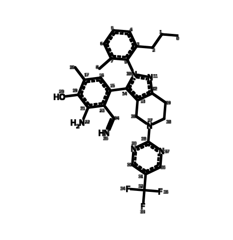 CCCc1cccc(C)c1-n1nc2c(c1-c1cc(C)c(O)c(N)c1C=N)CN(c1ncc(C(F)(F)F)cn1)CC2